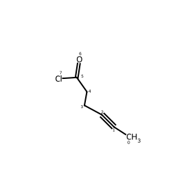 CC#CCCC(=O)Cl